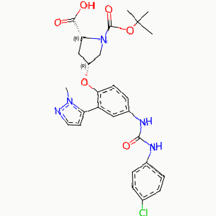 Cn1nccc1-c1cc(NC(=O)Nc2ccc(Cl)cc2)ccc1O[C@@H]1C[C@H](C(=O)O)N(C(=O)OC(C)(C)C)C1